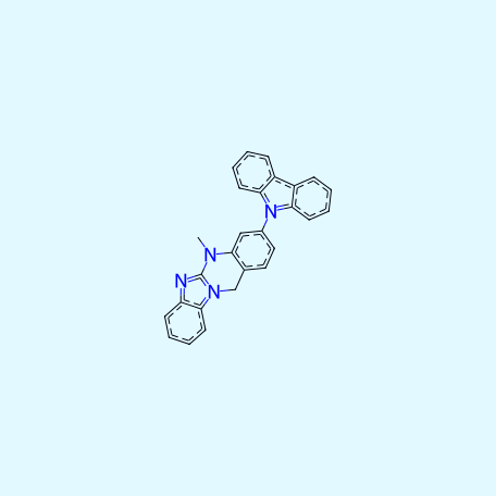 CN1c2cc(-n3c4ccccc4c4ccccc43)ccc2Cn2c1nc1ccccc12